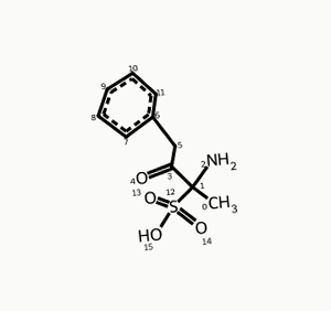 CC(N)(C(=O)Cc1ccccc1)S(=O)(=O)O